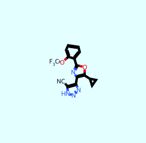 N#Cc1[nH]nnc1-c1nc(-c2ccccc2OC(F)(F)F)oc1C1CC1